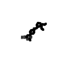 CCCC1(CCC)C=C(COc2ccc(C(CC(=O)O)OCC)cc2)CCC1